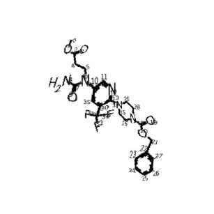 COC(=O)CCN(C(N)=O)c1cnc(N2CCN(C(=O)OCc3ccccc3)CC2)c(C(F)(F)F)c1